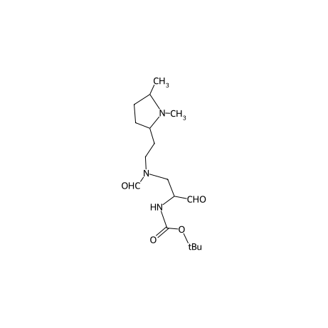 CC1CCC(CCN(C=O)CC(C=O)NC(=O)OC(C)(C)C)N1C